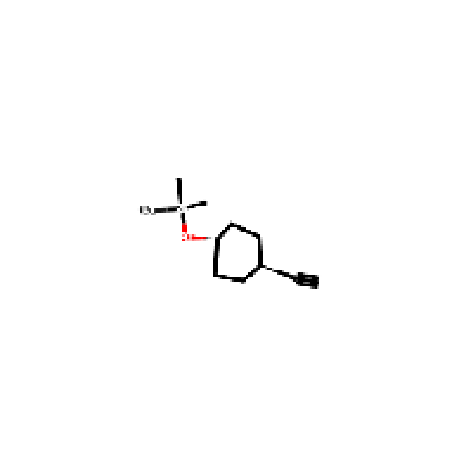 C#C[C@H]1CC[C@@H](O[Si](C)(C)C(C)(C)C)CC1